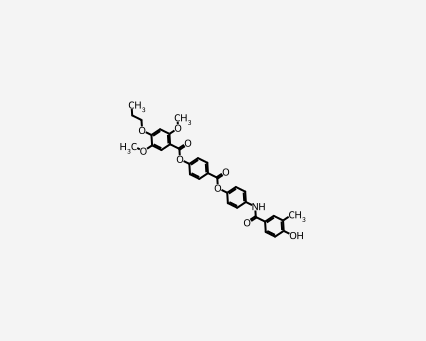 CCCOc1cc(OC)c(C(=O)Oc2ccc(C(=O)Oc3ccc(NC(=O)c4ccc(O)c(C)c4)cc3)cc2)cc1OC